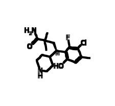 Cc1cc(O)c([C@H](CC(C)(C)C(N)=O)C2CCNCC2)c(F)c1Cl